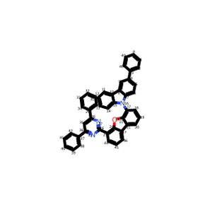 c1ccc(-c2ccc3c(c2)c2ccccc2n3-c2cccc3c2oc2c(-c4nc(-c5ccccc5)cc(-c5ccccc5)n4)cccc23)cc1